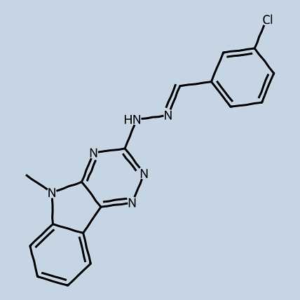 Cn1c2ccccc2c2nnc(NN=Cc3cccc(Cl)c3)nc21